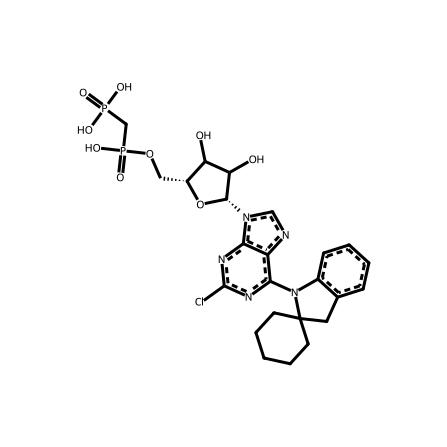 O=P(O)(O)CP(=O)(O)OC[C@H]1O[C@@H](n2cnc3c(N4c5ccccc5CC45CCCCC5)nc(Cl)nc32)C(O)C1O